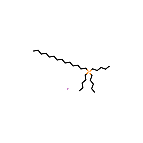 CCCCCCCCCCCCCC[P+](CCCCC)(CCCCC)CCCCC.[I-]